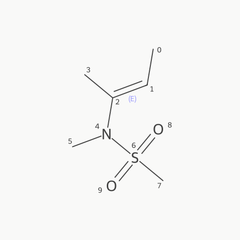 C/C=C(\C)N(C)S(C)(=O)=O